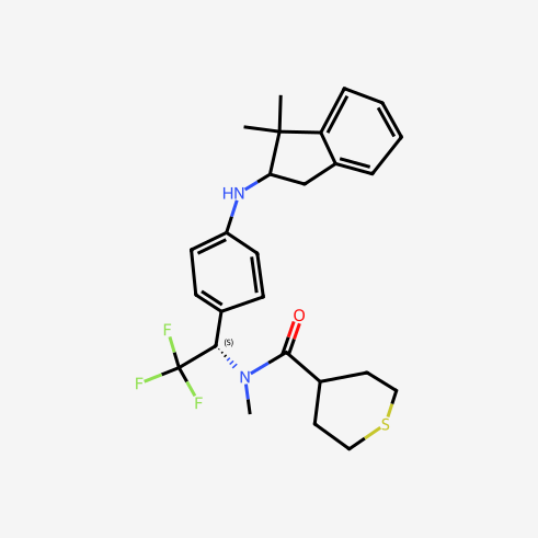 CN(C(=O)C1CCSCC1)[C@@H](c1ccc(NC2Cc3ccccc3C2(C)C)cc1)C(F)(F)F